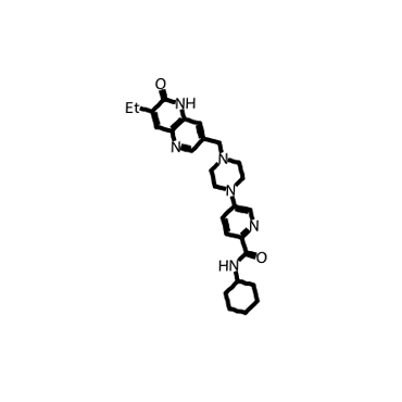 CCc1cc2ncc(CN3CCN(c4ccc(C(=O)NC5CCCCC5)nc4)CC3)cc2[nH]c1=O